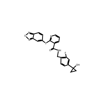 O=C(NCc1ccc(C2(O)CC2)cc1F)c1cccnc1Sc1ccc2nonc2c1